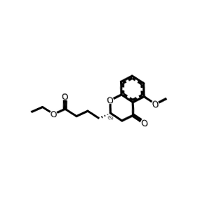 CCOC(=O)CCC[C@H]1CC(=O)c2c(OC)cccc2O1